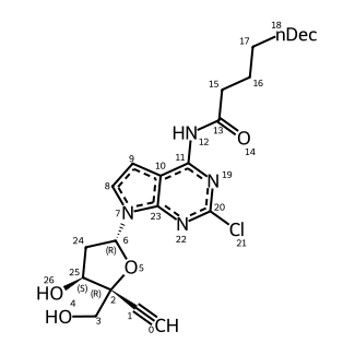 C#C[C@]1(CO)O[C@@H](n2ccc3c(NC(=O)CCCCCCCCCCCCC)nc(Cl)nc32)C[C@@H]1O